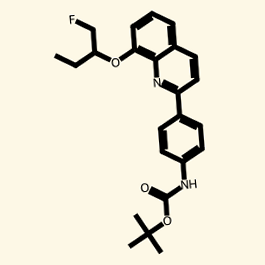 CCC(CF)Oc1cccc2ccc(-c3ccc(NC(=O)OC(C)(C)C)cc3)nc12